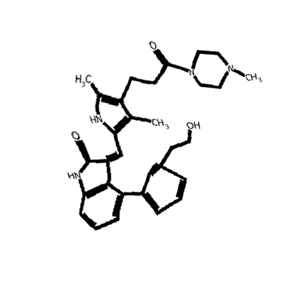 Cc1[nH]c(/C=C2\C(=O)Nc3cccc(-c4cccc(CCO)c4)c32)c(C)c1CCC(=O)N1CCN(C)CC1